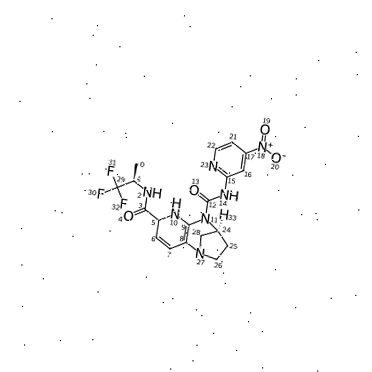 C[C@@H](NC(=O)C1C=CC2=C(N1)N(C(=O)Nc1cc([N+](=O)[O-])ccn1)[C@H]1CCN2C1)C(F)(F)F